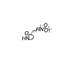 CC(CC=Cc1ccc[nH]c1=O)NC(=O)OC(C)(C)C